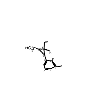 Cc1cccc(C2C(C(=O)O)C2(C)C)c1